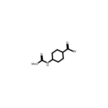 COC(=O)NC1CCC(C(=O)C(C)C)CC1